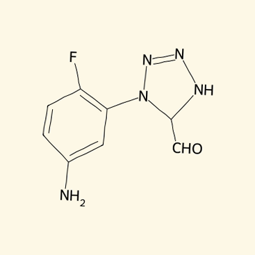 Nc1ccc(F)c(N2N=NNC2C=O)c1